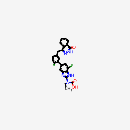 CCN(C(=O)O)c1nc2cc(-c3cc(Cc4n[nH]c(=O)c5ccccc45)ccc3F)cc(F)c2[nH]1